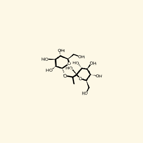 CC(O[C@H]1O[C@H](CO)[C@@H](O)[C@H](O)[C@H]1O)[C@@]1(O)O[C@H](CO)[C@@H](O)[C@H](O)[C@H]1O